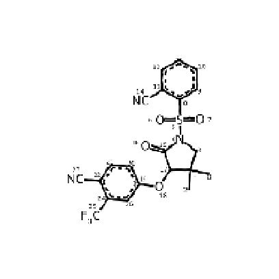 CC1(C)CN(S(=O)(=O)c2ccccc2C#N)C(=O)C1Oc1ccc(C#N)c(C(F)(F)F)c1